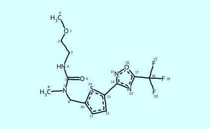 COCCNC(=O)N(C)Cc1ccc(-c2noc(C(F)(F)F)n2)s1